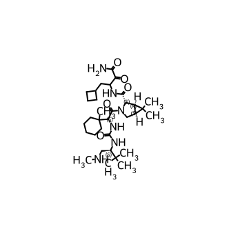 CNC[C@@H](NC(=O)N[C@H](C(=O)N1C[C@H]2[C@@H]([C@H]1C(=O)NC(CC1CCC1)C(=O)C(N)=O)C2(C)C)C1(C)CCCCC1)C(C)(C)C